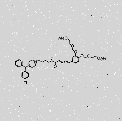 COCCOCOc1ccc(C=CC=CC(=O)NCCCCN2CCN(C(c3ccccc3)c3ccc(Cl)cc3)CC2)cc1OCOCCOC